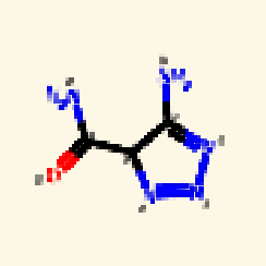 NC(=O)[C]1N=NN=C1N